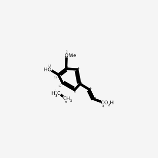 CC.COc1cc(C=CC(=O)O)ccc1O